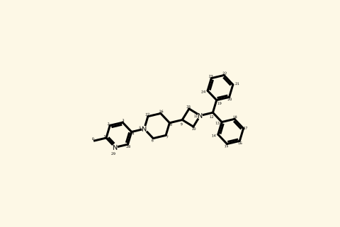 Cc1ccc(N2CCC(C3CN(C(c4ccccc4)c4ccccc4)C3)CC2)cn1